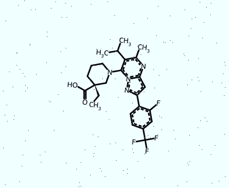 CC[C@@]1(C(=O)O)CCCN(c2c(C(C)C)c(C)nc3cc(-c4ccc(C(F)(F)F)cc4F)nn23)C1